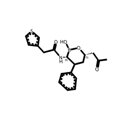 CC(=O)C[C@@H]1CC(c2ccccc2)[C@H](NC(=O)Cc2ccsc2)B(O)O1